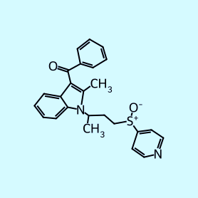 Cc1c(C(=O)c2ccccc2)c2ccccc2n1C(C)CC[S+]([O-])c1ccncc1